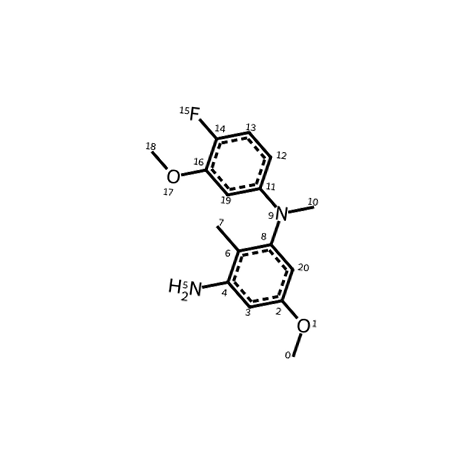 COc1cc(N)c(C)c(N(C)c2ccc(F)c(OC)c2)c1